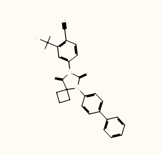 C=C1N(c2ccc(C#N)c(C(F)(F)F)c2)C(=O)C2(CCC2)N1c1ccc(-c2ccccc2)cc1